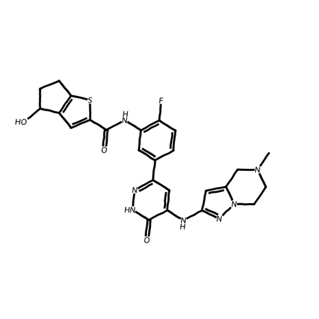 CN1CCn2nc(Nc3cc(-c4ccc(F)c(NC(=O)c5cc6c(s5)CCC6O)c4)n[nH]c3=O)cc2C1